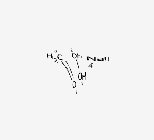 C=O.OO.[NaH]